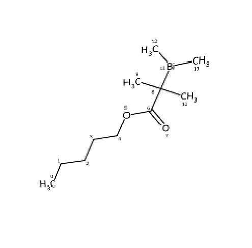 CCCCCOC(=O)[C](C)(C)[Bi]([CH3])[CH3]